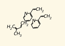 C=CC(=C)C.C=Cc1ccccn1.C=Cc1ccccn1